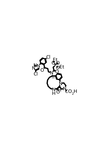 CCOP(=O)(CC(=O)N(CCC(=O)c1cc(Cl)ccc1-n1cc(Cl)nn1)[C@H]1CCCCCNC(=O)[C@H]2CN(C(=O)O)CCN2c2cccc1c2)OCC